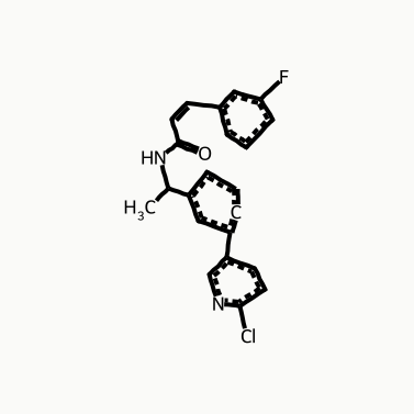 CC(NC(=O)/C=C\c1cccc(F)c1)c1cccc(-c2ccc(Cl)nc2)c1